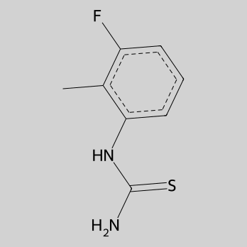 Cc1c(F)cccc1NC(N)=S